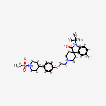 [2H]C([2H])([2H])N1C(=O)C2(CCN(CCOc3ccc(C4CCN(S(C)(=O)=O)CC4)cc3)CC2)c2cc(Cl)ccc21